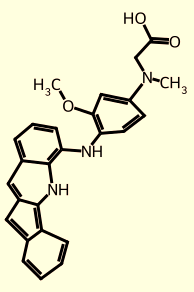 COc1cc(N(C)CC(=O)O)ccc1Nc1cccc2cc3cc4ccccc4c-3[nH]c12